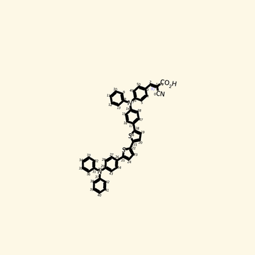 N#C/C(=C\c1ccc(N(c2ccccc2)c2ccc(-c3ccc(-c4ccc(-c5ccc(N(c6ccccc6)c6ccccc6)cc5)s4)s3)cc2)cc1)C(=O)O